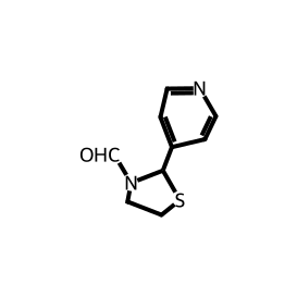 O=CN1CCSC1c1ccncc1